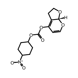 O=C(OC1=C2CCO[C@@H]2OC=C1)OC1CCC([N+](=O)[O-])CC1